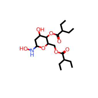 CCC(CC)C(=O)OCC1OC(NO)CC(O)C1OC(=O)C(CC)CC